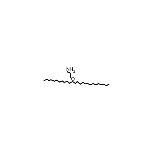 CCCCCCCCCCCCCCC(CCCCCCCCCCC)OCCCN